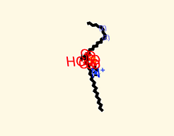 CCCCC/C=C\C/C=C\CCCCCCCC(=O)O[C@@H](CO)C(OP(=O)([O-])OCC[N+](C)(C)C)C(=O)CCCCCCCCCCCCCCCCC